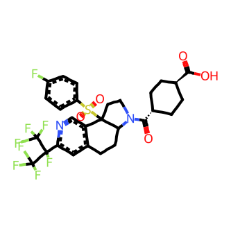 O=C(O)[C@H]1CC[C@H](C(=O)N2CCC3(S(=O)(=O)c4ccc(F)cc4)c4cnc(C(F)(C(F)(F)F)C(F)(F)F)cc4CCC23)CC1